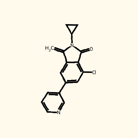 C=C1c2cc(-c3cccnc3)cc(Cl)c2C(=O)N1C1CC1